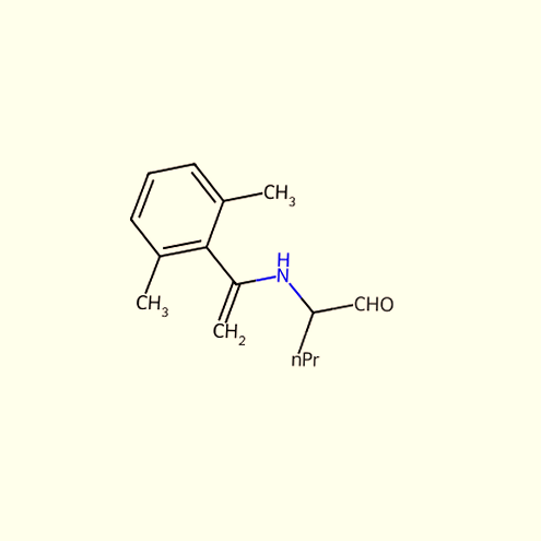 C=C(NC(C=O)CCC)c1c(C)cccc1C